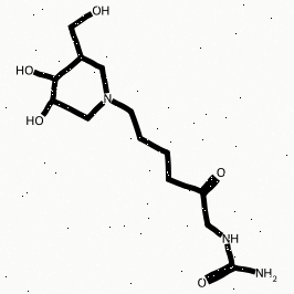 NC(=O)NCC(=O)CCCCN1CC(O)C(O)C(CO)C1